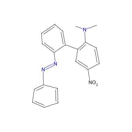 CN(C)c1ccc([N+](=O)[O-])cc1-c1ccccc1/N=N/c1ccccc1